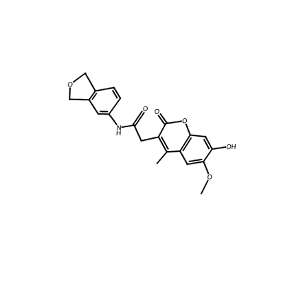 COc1cc2c(C)c(CC(=O)Nc3ccc4c(c3)COC4)c(=O)oc2cc1O